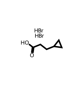 Br.Br.O=C(O)CCC1CC1